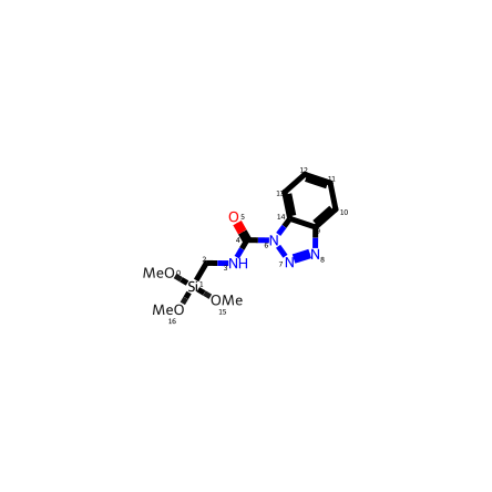 CO[Si](CNC(=O)n1nnc2ccccc21)(OC)OC